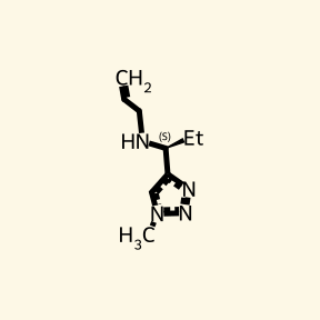 C=CCN[C@@H](CC)c1cn(C)nn1